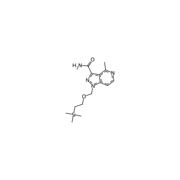 Cc1nccc2c1c(C(N)=O)nn2COCC[Si](C)(C)C